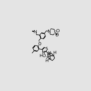 C=NCc1cc(CN2CCS(=O)(=O)CC2)ccc1COc1ccc(C)cc1-c1csc(N2C[C@H]3CC[C@@H](C2)[C@H]3C(=O)O)n1